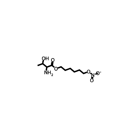 CC(O)C(N)C(=O)OCCCCCCO[N+](=O)[O-]